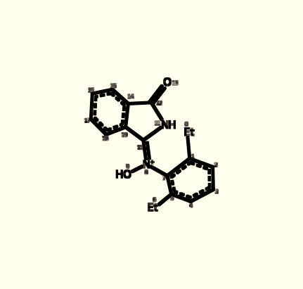 CCc1cccc(CC)c1[N+](O)=C1NC(=O)c2ccccc21